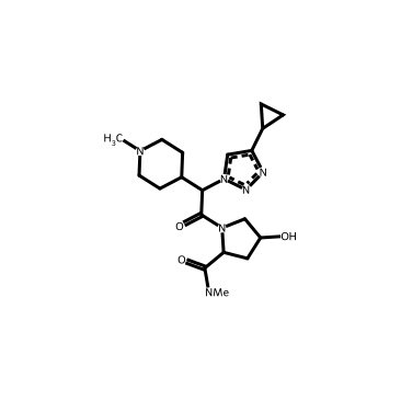 CNC(=O)C1CC(O)CN1C(=O)C(C1CCN(C)CC1)n1cc(C2CC2)nn1